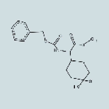 COC(=O)[C@@H](NC(=O)OCc1ccccc1)C1CCC(O)(O)CC1